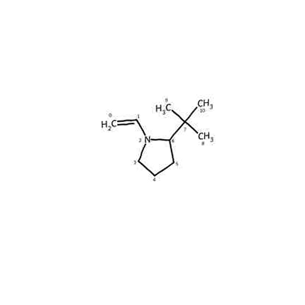 C=CN1CCCC1C(C)(C)C